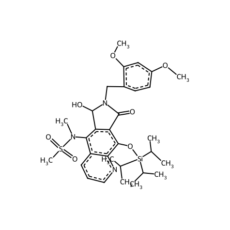 COc1ccc(CN2C(=O)c3c(c(N(C)S(C)(=O)=O)c4cccnc4c3O[Si](C(C)C)(C(C)C)C(C)C)C2O)c(OC)c1